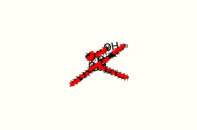 CC1=C(/C=C/C(C)=C/C=C/C(C)=C/CO)C(C)(C)CCC1.CCCCCCCCCCCCCCCC(=O)OCC(COC(=O)CCCCCCCCCCCCCCC)OC(=O)CCCCCCCCCCCCCCC